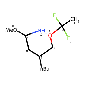 CCCCC(COC(C)(F)F)CC(N)OC